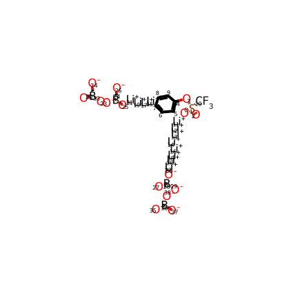 O=S(=O)(Oc1ccccc1)C(F)(F)F.[Li+].[Li+].[Li+].[Li+].[Li+].[Li+].[Li+].[Li+].[Li+].[Li+].[Li+].[Li+].[O-]B([O-])[O-].[O-]B([O-])[O-].[O-]B([O-])[O-].[O-]B([O-])[O-]